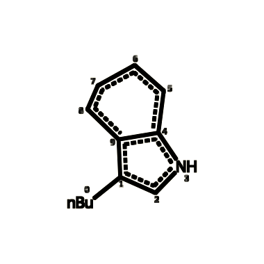 [CH2]C[CH]Cc1c[nH]c2ccccc12